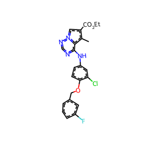 CCOC(=O)c1cn2ncnc(Nc3ccc(OCc4cccc(F)c4)c(Cl)c3)c2c1C